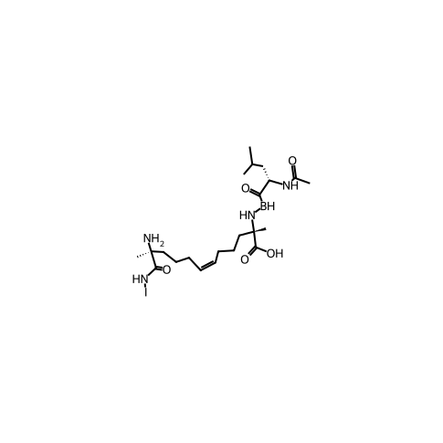 CC(=O)N[C@@H](CC(C)C)C(=O)BN[C@@](C)(CCC/C=C\CCC[C@](C)(N)C(=O)NI)C(=O)O